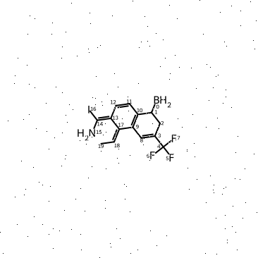 BC1CC(C(F)(F)F)=Cc2c1ccc(=C(/N)I)/c2=C\C